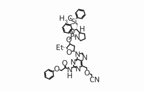 CC[C@H]1O[C@@H](n2cnc3c(COCC#N)nc(NC(=O)COc4ccccc4)nc32)CC1O[P@@]1O[C@H](C[Si](C)(c2ccccc2)c2ccccc2)[C@@H]2CCCN21